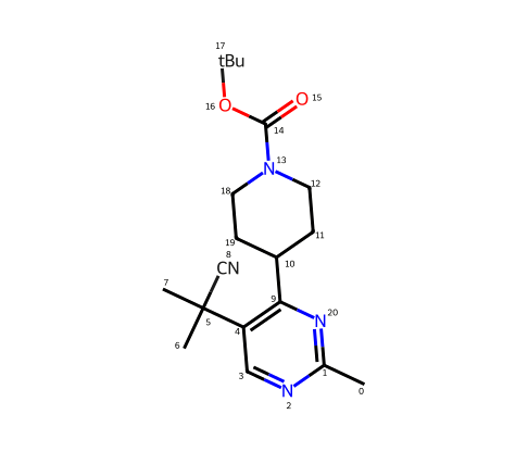 Cc1ncc(C(C)(C)C#N)c(C2CCN(C(=O)OC(C)(C)C)CC2)n1